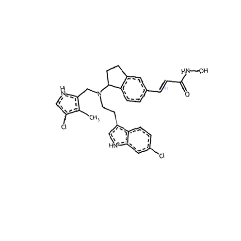 Cc1c(Cl)c[nH]c1CN(CCc1c[nH]c2cc(Cl)ccc12)C1CCc2cc(/C=C/C(=O)NO)ccc21